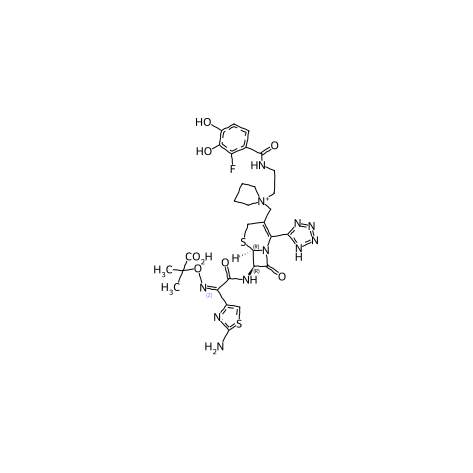 CC(C)(O/N=C(\C(=O)N[C@@H]1C(=O)N2C(c3nnn[nH]3)=C(C[N+]3(CCNC(=O)c4ccc(O)c(O)c4F)CCCC3)CS[C@H]12)c1csc(N)n1)C(=O)O